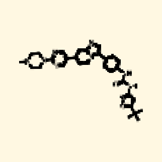 CN1CCN(c2ncc(-c3ccn4c(-c5ccc(NC(=O)Nc6cc(C(C)(C)C)on6)cc5)cnc4c3)cn2)CC1